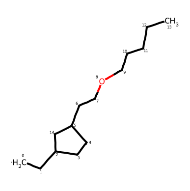 [CH2]CC1C[CH]C(CCOCCCCC)C1